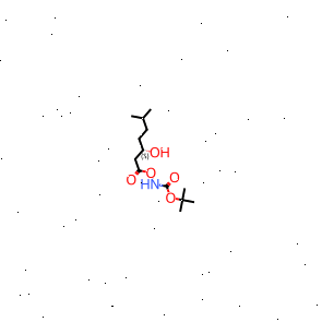 CC(C)CC[C@H](O)CC(=O)ONC(=O)OC(C)(C)C